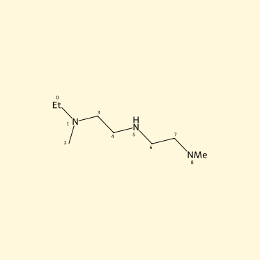 CCN(C)CCNCCNC